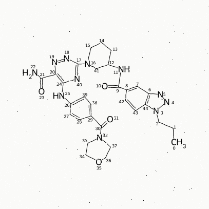 CCCn1nnc2cc(C(=O)NC3CCCN(c4nnc(C(N)=O)c(Nc5ccc(C(=O)N6CCOCC6)cc5)n4)C3)ccc21